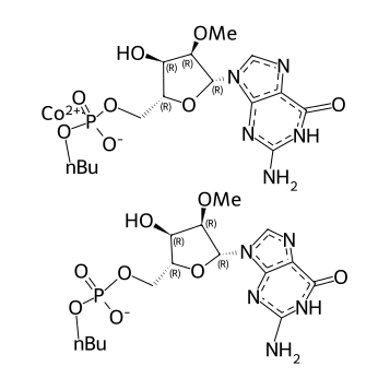 CCCCOP(=O)([O-])OC[C@H]1O[C@@H](n2cnc3c(=O)[nH]c(N)nc32)[C@H](OC)[C@@H]1O.CCCCOP(=O)([O-])OC[C@H]1O[C@@H](n2cnc3c(=O)[nH]c(N)nc32)[C@H](OC)[C@@H]1O.[Co+2]